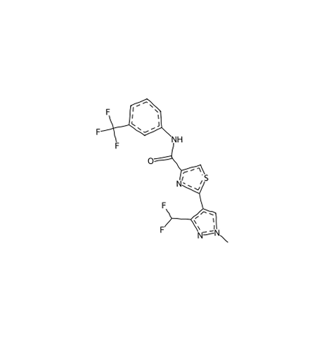 Cn1cc(-c2nc(C(=O)Nc3cccc(C(F)(F)F)c3)cs2)c(C(F)F)n1